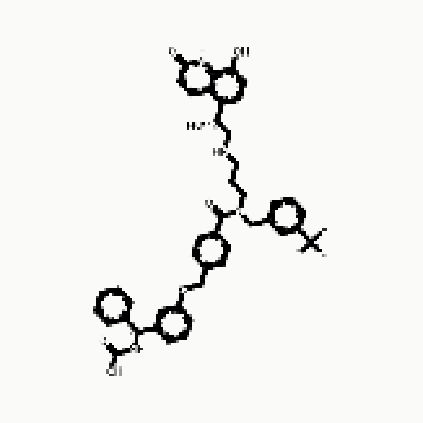 O=C(O)N[C@@H](c1ccccc1)c1cccc(OCc2ccc(C(=O)N(CCCNC[C@H](O)c3ccc(O)c4[nH]c(=O)ccc34)Cc3cccc(C(F)(F)F)c3)cc2)c1